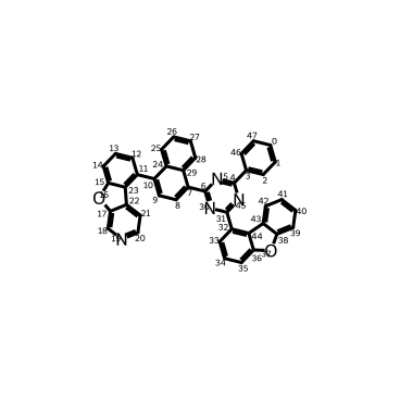 c1ccc(-c2nc(-c3ccc(-c4cccc5oc6cnccc6c45)c4ccccc34)nc(-c3cccc4oc5ccccc5c34)n2)cc1